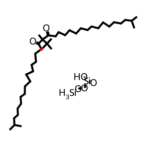 CC(C)CCCCCCCCCCCCCCC(=O)C(C)(C(=O)CCCCCCCCCCCCCCC(C)C)C(C)(C)C.O=[Si](O)OO[SiH3]